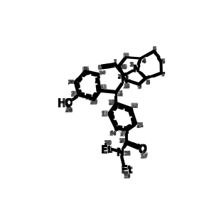 C=CCN1C2CCCC1CN(C(c1ccc(C(=O)N(CC)CC)cc1)c1cccc(O)c1)CC2